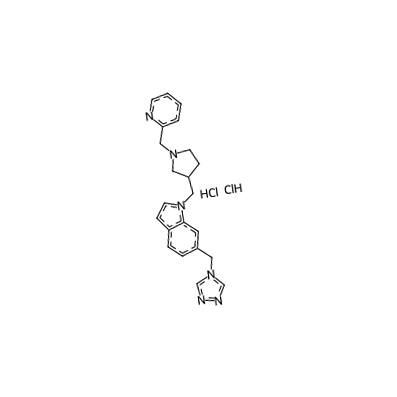 Cl.Cl.c1ccc(CN2CCC(Cn3ccc4ccc(Cn5cnnc5)cc43)C2)nc1